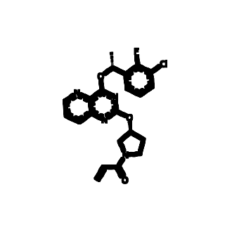 C=CC(=O)N1CC[C@H](Oc2nc(O[C@H](C)c3cccc(Cl)c3F)c3ncccc3n2)C1